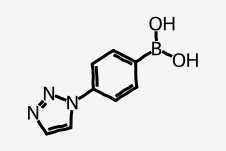 OB(O)c1ccc(-n2ccnn2)cc1